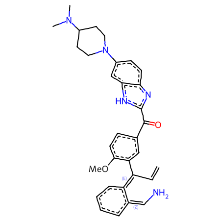 C=C/C(c1cc(C(=O)c2nc3ccc(N4CCC(N(C)C)CC4)cc3[nH]2)ccc1OC)=c1/cccc/c1=C/N